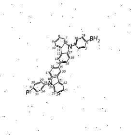 Bc1ccc(-n2c3ccccc3c3cc(-c4ccc5c(c4)c4ccccc4n5-c4ccc(F)cc4)ccc32)cc1